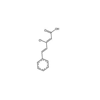 O=C(O)C=C(Cl)C=Cc1ccccc1